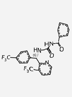 O=C(NC(=O)c1ccccc1)N[C@@H](c1ccc(C(F)(F)F)cc1)c1ncccc1C(F)(F)F